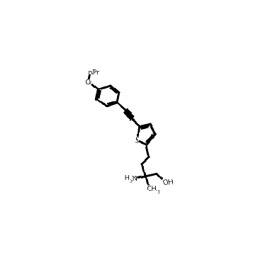 CCCOc1ccc(C#Cc2ccc(CCC(C)(N)CO)s2)cc1